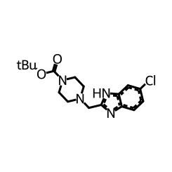 CC(C)(C)OC(=O)N1CCN(Cc2nc3ccc(Cl)cc3[nH]2)CC1